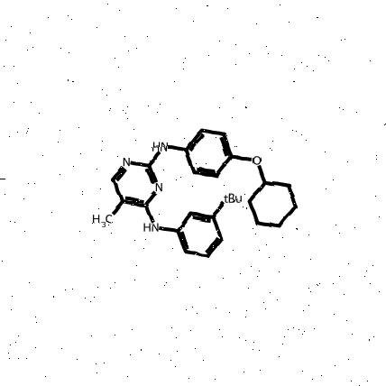 Cc1cnc(Nc2ccc(OC3CCCCC3)cc2)nc1Nc1cccc(C(C)(C)C)c1